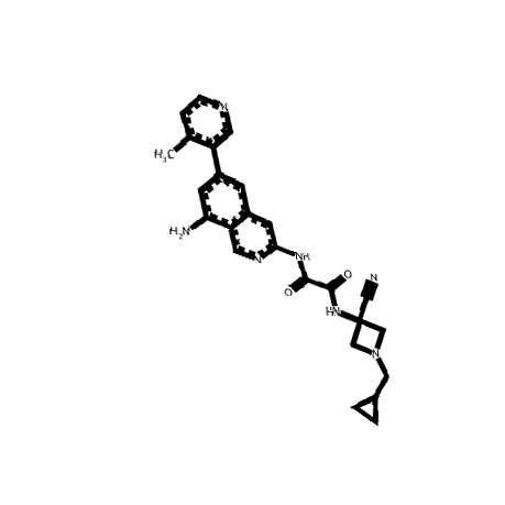 Cc1ccncc1-c1cc(N)c2cnc(NC(=O)C(=O)NC3(C#N)CN(CC4CC4)C3)cc2c1